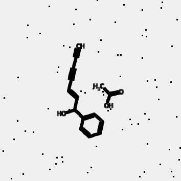 C#CC#CC=CC(O)c1ccccc1.CC(=O)O